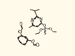 CCOP(=S)(OCC)Oc1cc(C)nc(C(C)C)n1.O=COc1cccc(OC=O)c1